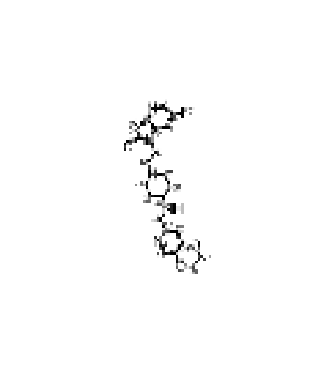 O=c1sc2ncc(F)cc2n1CCN1CCC(NCc2cc3c(cn2)OCCO3)CC1